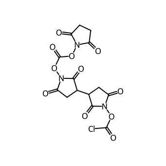 O=C(Cl)ON1C(=O)CC(C2CC(=O)N(OC(=O)ON3C(=O)CCC3=O)C2=O)C1=O